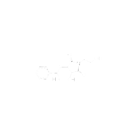 CC(CC1C(=O)N(CCO)C(=O)C1C)c1ccccc1